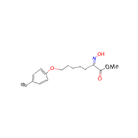 COC(=O)C(CCCCCOc1ccc(C(C)(C)C)cc1)=NO